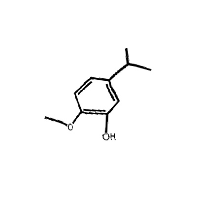 COc1ccc(C(C)C)cc1O